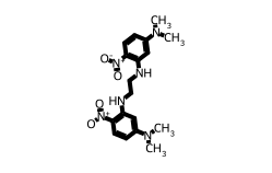 CN(C)c1ccc([N+](=O)[O-])c(NCCNc2cc(N(C)C)ccc2[N+](=O)[O-])c1